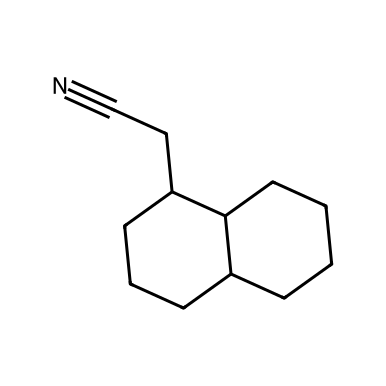 N#CCC1CCCC2CCCCC12